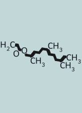 C=CC(=O)OCC(C)=CCCC(C)=CCCC(C)=CC